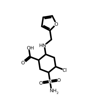 NS(=O)(=O)C1CC(C(=O)O)C(NCc2ccco2)CC1Cl